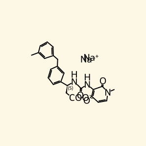 Cc1cccc(Cc2cccc([C@H](CC(=O)[O-])NC(=O)Nc3c([O-])ccn(C)c3=O)c2)c1.[Na+].[Na+]